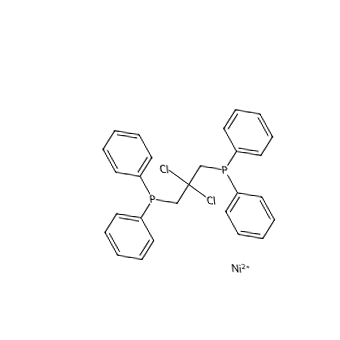 ClC(Cl)(CP(c1ccccc1)c1ccccc1)CP(c1ccccc1)c1ccccc1.[Ni+2]